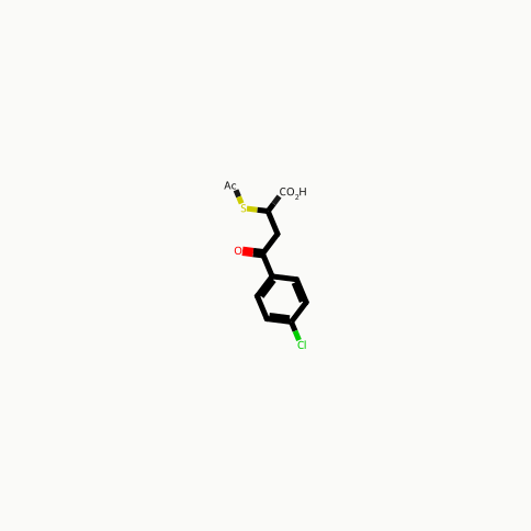 CC(=O)SC(CC(=O)c1ccc(Cl)cc1)C(=O)O